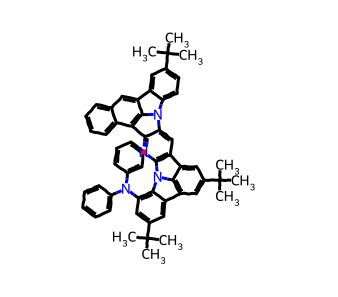 CC(C)(C)c1ccc2c(c1)c1cc3ccccc3c3c4nc5c(cc4n2c13)c1cc(C(C)(C)C)cc2c3cc(C(C)(C)C)cc(N(c4ccccc4)c4ccccc4)c3n5c12